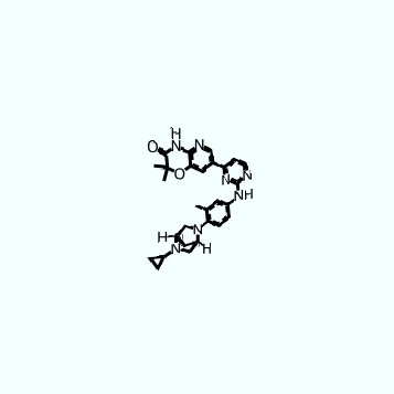 Cc1cc(Nc2nccc(-c3cnc4c(c3)OC(C)(C)C(=O)N4)n2)ccc1N1C[C@@H]2C[C@H]1CN2C1CC1